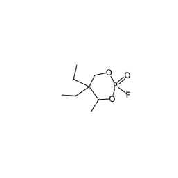 CCC1(CC)COP(=O)(F)OC1C